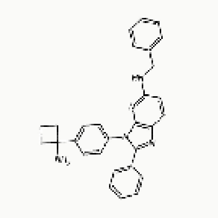 NC1(c2ccc(-n3c(-c4ccccc4)nc4ccc(NCc5ccccc5)nc43)cc2)CCC1